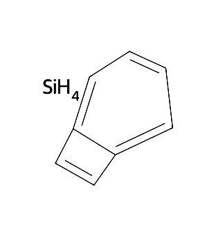 C1=Cc2ccccc21.[SiH4]